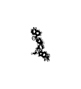 CCOC1Cc2cc(C(F)(F)F)ccc2[C@H]1N1CCN(C2(C)CCN(C(=O)c3cccc4ncccc34)CC2)CC1C